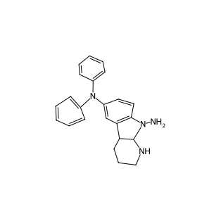 NN1c2ccc(N(c3ccccc3)c3ccccc3)cc2C2CCCNC21